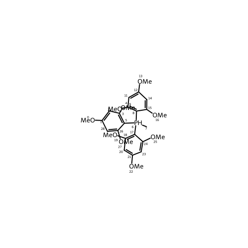 COc1cc(OC)c([PH](C)(c2c(OC)cc(OC)cc2OC)c2c(OC)cc(OC)cc2OC)c(OC)c1